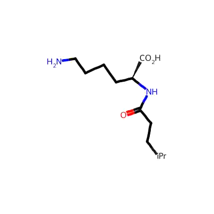 CC(C)CCC(=O)N[C@@H](CCCCN)C(=O)O